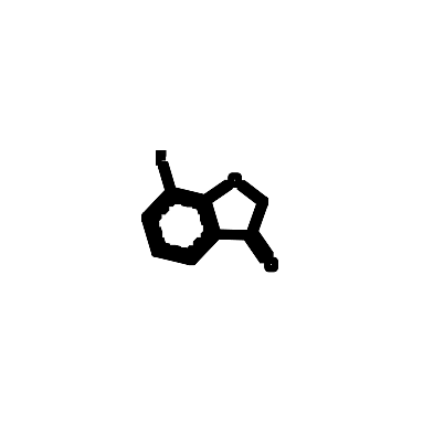 O=C1COc2c(F)cccc21